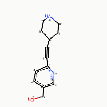 OCc1ccc(C#CC2CCNCC2)nc1